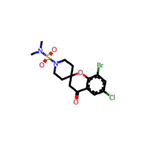 CN(C)S(=O)(=O)N1CCC2(CC1)CC(=O)c1cc(Cl)cc(Br)c1O2